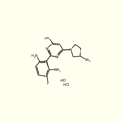 CCCc1cc(N2CCC(N)C2)nc(-c2c(N)ccc(F)c2N)n1.Cl.Cl